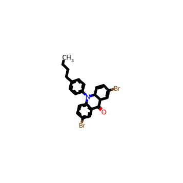 CCCCc1ccc(N2c3ccc(Br)cc3C(=O)C3C=C(Br)C=CC32)cc1